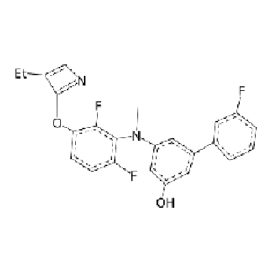 CCC1=CN=C1Oc1ccc(F)c(N(C)c2cc(O)cc(-c3cccc(F)c3)c2)c1F